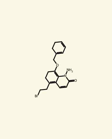 Nn1c(=O)ccc2c1=C(OCC1=CC=CCC1)CCC=2CCBr